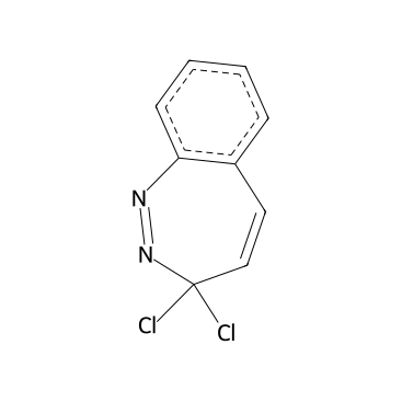 ClC1(Cl)C=Cc2ccccc2N=N1